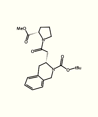 COC(=O)[C@@H]1CCCN1C(=O)C[C@H]1Cc2ccccc2CN1C(=O)OC(C)(C)C